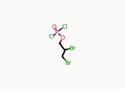 O=P(Cl)(Cl)OCC(Br)CBr